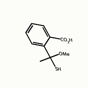 COC(C)(S)c1ccccc1C(=O)O